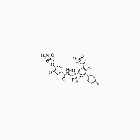 COc1cc(C(=O)NCC(O)(c2cc3c(c(-c4ccc(F)cc4)n2)OCC3(C)N[S+]([O-])C(C)(C)C)C(F)(F)F)ccc1OCS(N)(=O)=O